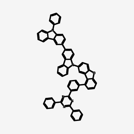 c1ccc(-c2nc(-c3ccccc3)nc(-c3cccc(-c4cccc5oc6ccc(-n7c8ccccc8c8cc(-c9ccc%10c(c9)c9ccccc9n%10-c9ccccc9)ccc87)cc6c45)c3)n2)cc1